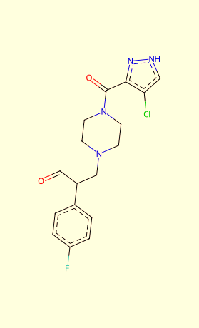 O=CC(CN1CCN(C(=O)c2n[nH]cc2Cl)CC1)c1ccc(F)cc1